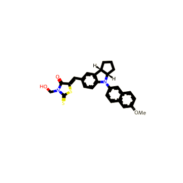 COc1ccc2cc(N3c4ccc(/C=C5\SC(=S)N(CO)C5=O)cc4[C@@H]4CCC[C@@H]43)ccc2c1